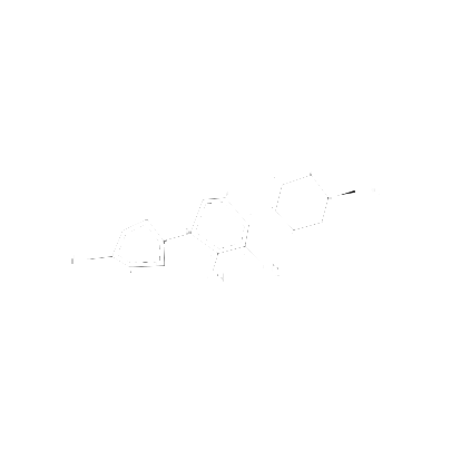 CCCC[C@H]1CC[C@H](c2ccc(-c3ccc(C(C)CC)cc3)c(C#N)c2C#N)CC1